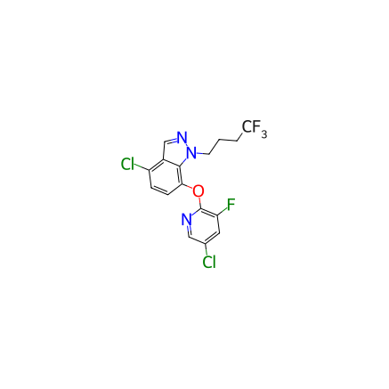 Fc1cc(Cl)cnc1Oc1ccc(Cl)c2cnn(CCCC(F)(F)F)c12